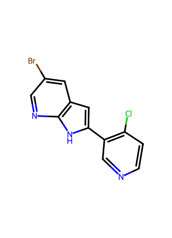 Clc1ccncc1-c1cc2cc(Br)cnc2[nH]1